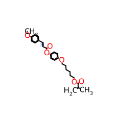 C=C(C)C(=O)OCCCCCCOc1ccc(OC(=O)/C=C/c2ccc(OC)cc2)cc1